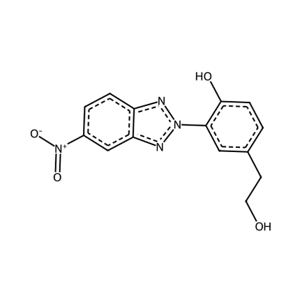 O=[N+]([O-])c1ccc2nn(-c3cc(CCO)ccc3O)nc2c1